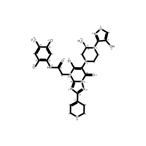 CCc1c(N2CCN(c3nocc3O)[C@H](C)C2)c(=O)n2nc(C3=CCOCC3)nc2n1CC(=O)Nc1cc(Cl)c(C(F)(F)F)cc1Cl